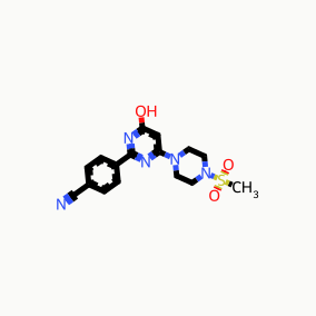 CS(=O)(=O)N1CCN(c2cc(O)nc(-c3ccc(C#N)cc3)n2)CC1